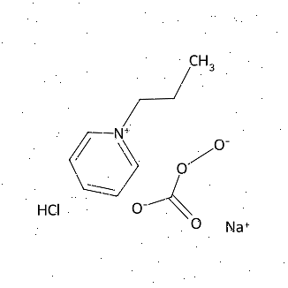 CCC[n+]1ccccc1.Cl.O=C([O-])O[O-].[Na+]